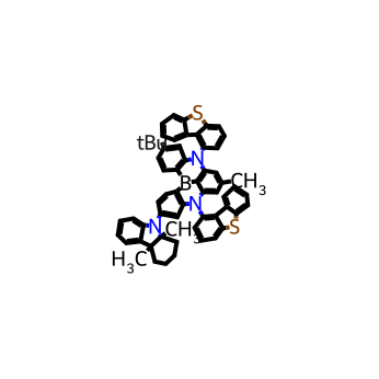 Cc1cc2c3c(c1)N(c1cccc4sc5ccccc5c14)c1cc(C(C)(C)C)ccc1B3c1ccc(N3c4ccccc4C4(C)CCCCC34C)cc1N2c1cccc2sc3ccccc3c12